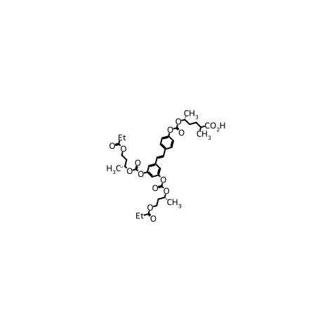 CCC(=O)OCC[C@@H](C)OC(=O)Oc1cc(/C=C/c2ccc(OC(=O)O[C@H](C)CCC(C)C(=O)O)cc2)cc(OC(=O)O[C@H](C)CCOC(=O)CC)c1